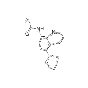 CCC(=O)Nc1ccc(-c2ccccc2)c2cccnc12